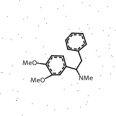 CNC(Cc1ccccc1)c1ccc(OC)c(OC)c1